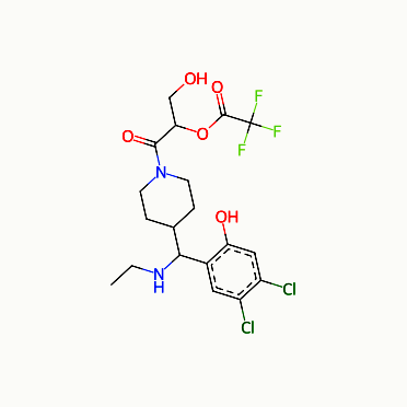 CCNC(c1cc(Cl)c(Cl)cc1O)C1CCN(C(=O)C(CO)OC(=O)C(F)(F)F)CC1